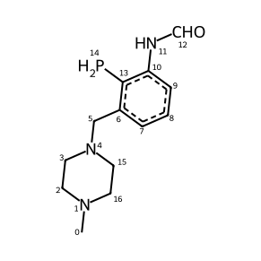 CN1CCN(Cc2cccc(NC=O)c2P)CC1